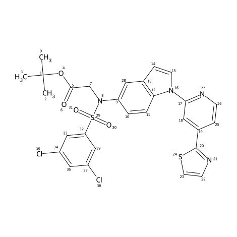 CC(C)(C)OC(=O)CN(c1ccc2c(ccn2-c2cc(-c3nccs3)ccn2)c1)S(=O)(=O)c1cc(Cl)cc(Cl)c1